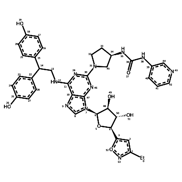 CCc1cc([C@H]2O[C@@H](n3cnc4c(NCC(c5ccc(O)cc5)c5ccc(O)cc5)nc(N5CC[C@@H](NC(=O)Nc6cccnc6)C5)nc43)[C@@H](O)[C@@H]2O)on1